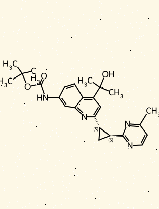 Cc1ccnc([C@H]2C[C@@H]2c2cc(C(C)(C)O)c3ccc(NC(=O)OC(C)(C)C)cc3n2)n1